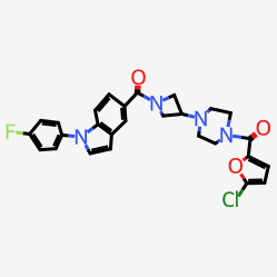 O=C(c1ccc2c(ccn2-c2ccc(F)cc2)c1)N1CC(N2CCN(C(=O)c3ccc(Cl)o3)CC2)C1